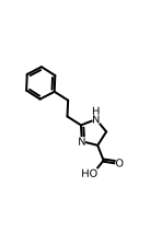 O=C(O)C1CNC(CCc2ccccc2)=N1